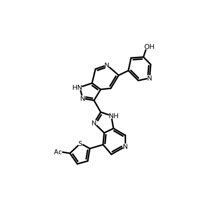 CC(=O)c1ccc(-c2cncc3[nH]c(-c4n[nH]c5cnc(-c6cncc(O)c6)cc45)nc23)s1